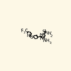 NC(=O)c1cc(N)nc(C2CCC(Oc3ccc(C(F)(F)F)cn3)CC2)n1